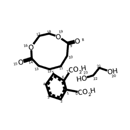 O=C(O)c1ccccc1C(=O)O.O=C1CCCCC(=O)OCCO1.OCCO